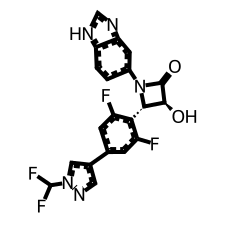 O=C1[C@@H](O)[C@H](c2c(F)cc(-c3cnn(C(F)F)c3)cc2F)N1c1ccc2[nH]cnc2c1